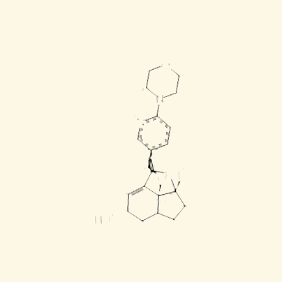 C[C@@H]1C=C2C(=O)O[C@@H]3CCC(C1)[C@]23OCc1ccc(N2CCOCC2)nc1